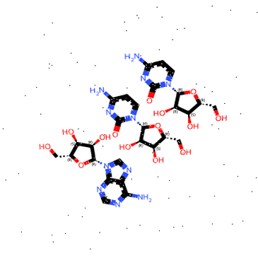 Nc1ccn([C@@H]2O[C@H](CO)[C@@H](O)[C@H]2O)c(=O)n1.Nc1ccn([C@@H]2O[C@H](CO)[C@@H](O)[C@H]2O)c(=O)n1.Nc1ncnc2c1ncn2[C@@H]1O[C@H](CO)[C@@H](O)[C@H]1O